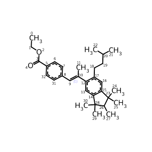 CCOC(=O)c1ccc(/C=C(\C)c2cc3c(cc2CCC(C)C)C(C)(C)C(C)C3(C)C)cc1